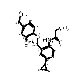 CCC(=O)Nc1ccc(C2CC2)cc1COc1ccc(CC)cc1C